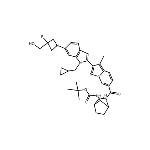 Cc1c(-c2cc3ccc(N4CC(F)(CO)C4)cc3n2CC2CC2)nn2cc(C(=O)N3CC4CCC3[C@@H]4NC(=O)OC(C)(C)C)ccc12